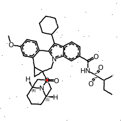 CCC(C)S(=O)(=O)NC(=O)c1ccc2c(C3CCCCC3)c3n(c2c1)CC1(C(=O)N2[C@@H]4CCC[C@H]2COC4)CC1c1cc(OC)ccc1-3